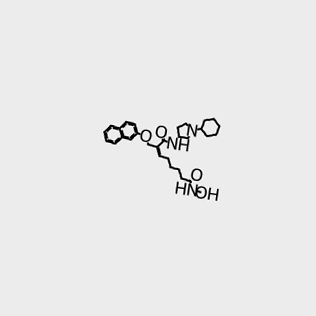 O=C(CCCCC=C(COc1ccc2ccccc2c1)C(=O)NC1CCN(C2CCCCC2)C1)NO